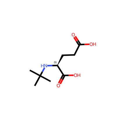 CC(C)(C)N[C@@H](CCC(=O)O)C(=O)O